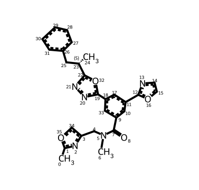 Cc1nc(CN(C)C(=O)c2cc(-c3ncco3)cc(-c3nnc([C@@H](C)Cc4ccccc4)o3)c2)co1